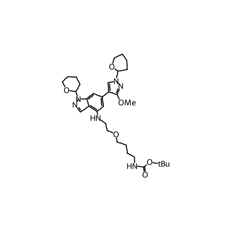 COc1nn(C2CCCCO2)cc1-c1cc(NCCOCCCCNC(=O)OC(C)(C)C)c2cnn(C3CCCCO3)c2c1